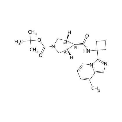 Cc1cccn2c(C3(NC(=O)[C@H]4[C@@H]5CN(C(=O)OC(C)(C)C)C[C@@H]54)CCC3)ncc12